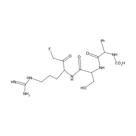 CC(C)C(NC(=O)O)C(=O)NC(CO)C(=O)NC(CCCNC(=N)N)C(=O)CF